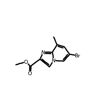 COC(=O)c1cn2cc(Br)cc(C)c2n1